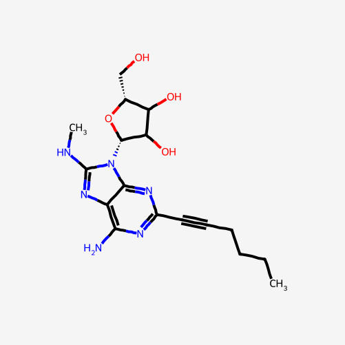 CCCCC#Cc1nc(N)c2nc(NC)n([C@@H]3O[C@H](CO)C(O)C3O)c2n1